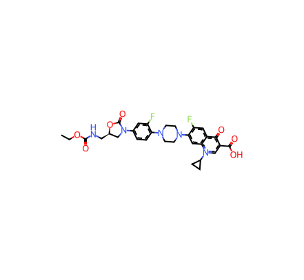 CCOC(=O)NC[C@@H]1CN(c2ccc(N3CCN(c4cc5c(cc4F)c(=O)c(C(=O)O)cn5C4CC4)CC3)c(F)c2)C(=O)O1